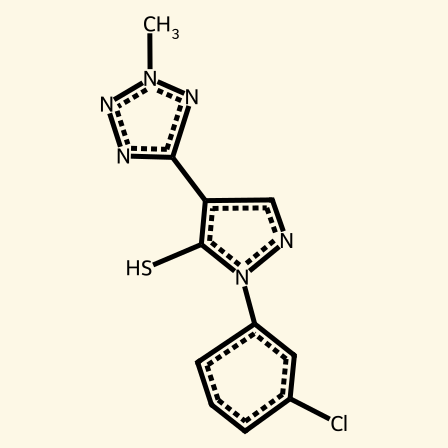 Cn1nnc(-c2cnn(-c3cccc(Cl)c3)c2S)n1